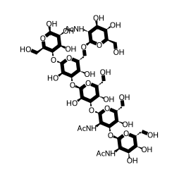 CC(=O)N[C@H]1[C@@H](O[C@H]2[C@@H](O)[C@@H](CO)O[C@@H](O[C@H]3[C@@H](O)[C@@H](CO)O[C@H](O[C@H]4[C@@H](O)[C@@H](CO[C@@H]5O[C@H](CO)[C@@H](O)[C@H](O)[C@H]5NC(C)=O)O[C@@H](O[C@H]5[C@H](O)[C@@H](O)[C@H](O)O[C@@H]5CO)[C@@H]4O)[C@@H]3O)[C@@H]2NC(C)=O)O[C@H](CO)[C@H](O)[C@@H]1O